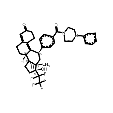 C[C@]12C[C@H](c3ccc(C(=O)N4CCN(c5ccccc5)CC4)cc3)C3=C4CCC(=O)C=C4CC[C@H]3[C@@H]1CC[C@@]2(O)C(F)(F)C(F)(F)F